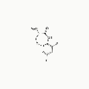 CNC1COc2cc(F)cc(F)c2NC1=O